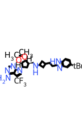 CC1(C)O[C@@H]2[C@@H](CNC3CC(CCc4nc5cc(C(C)(C)C)ccc5[nH]4)C3)C[C@@H](n3cc(C(F)(F)F)c4c(N)ncnc43)[C@@H]2O1